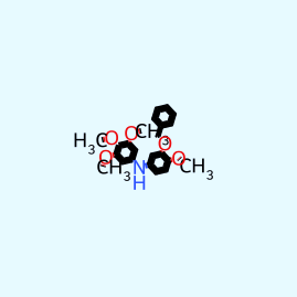 COc1ccc(Nc2cc(OC)c(OC)c(OC)c2)cc1OCc1ccccc1